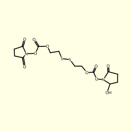 O=C(OCCSSCCOC(=O)ON1C(=O)CCC1O)ON1C(=O)CCC1=O